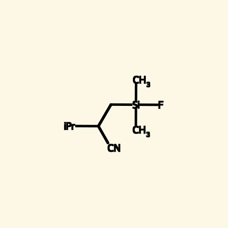 CC(C)C(C#N)C[Si](C)(C)F